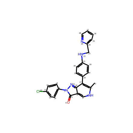 Cc1[nH]cc2c(=O)n(-c3ccc(Cl)cc3)nc-2c1-c1ccc(NCc2ccccn2)cc1